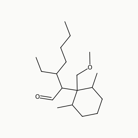 CCCCC(CC)C(C=O)C1(COC)C(C)CCCC1C